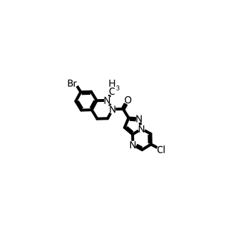 CN1c2cc(Br)ccc2CCN1C(=O)c1cc2ncc(Cl)cn2n1